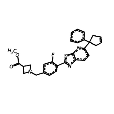 COC(=O)C1CN(Cc2ccc(-c3nc4ccc(C5(c6ccccc6)CC=CC5)nc4s3)c(F)c2)C1